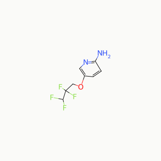 Nc1ccc(OCC(F)(F)C(F)F)cn1